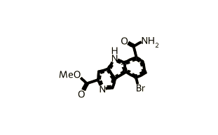 COC(=O)c1cc2[nH]c3c(C(N)=O)ccc(Br)c3c2cn1